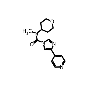 CN(C(=O)n1cnc(-c2ccncc2)c1)C1CCOCC1